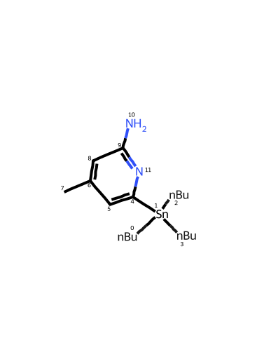 CCC[CH2][Sn]([CH2]CCC)([CH2]CCC)[c]1cc(C)cc(N)n1